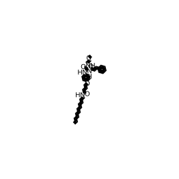 CCCCCCCCCCCCNC(=O)CCCOc1ccc(NC(NC(=O)C=Cc2ccccc2)C(=O)NCCOC)cc1